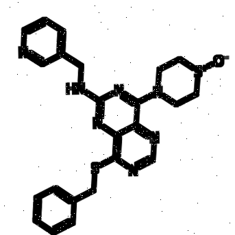 [O-][S+]1CCN(c2nc(NCc3cccnc3)nc3c(SCc4ccccc4)ncnc23)CC1